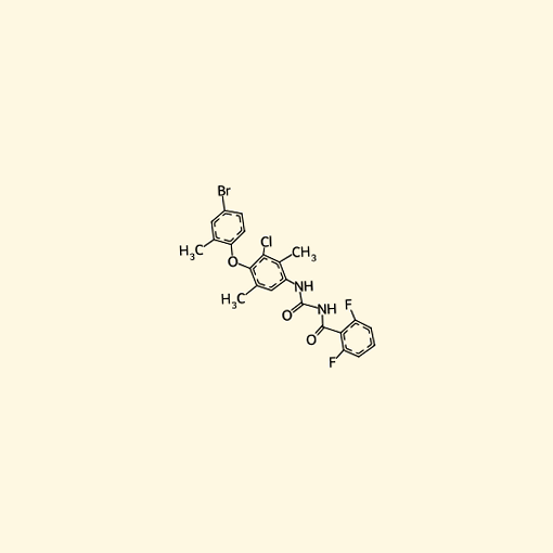 Cc1cc(Br)ccc1Oc1c(C)cc(NC(=O)NC(=O)c2c(F)cccc2F)c(C)c1Cl